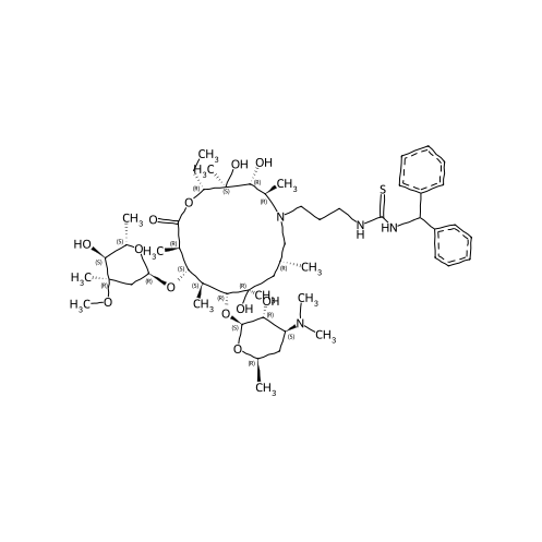 CC[C@H]1OC(=O)[C@H](C)[C@@H](O[C@H]2C[C@@](C)(OC)[C@@H](O)[C@H](C)O2)[C@H](C)[C@@H](O[C@@H]2O[C@H](C)C[C@H](N(C)C)[C@H]2O)[C@](C)(O)C[C@@H](C)CN(CCCNC(=S)NC(c2ccccc2)c2ccccc2)[C@H](C)[C@@H](O)[C@]1(C)O